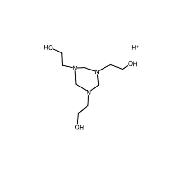 OCCN1CN(CCO)CN(CCO)C1.[H+]